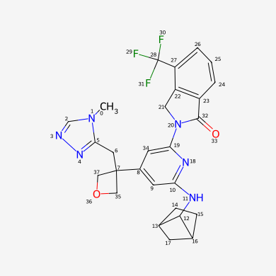 Cn1cnnc1CC1(c2cc(NC3C4CCC3C4)nc(N3Cc4c(cccc4C(F)(F)F)C3=O)c2)COC1